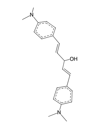 CN(C)c1ccc(C=CC(O)C=Cc2ccc(N(C)C)cc2)cc1